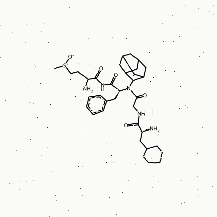 C[S+]([O-])CCC(N)C(=O)NC(=O)[C@H](Cc1ccccc1)N(C(=O)CNC(=O)[C@@H](N)CC1CCCCC1)C1C2CC3CC(C2)CC1C3